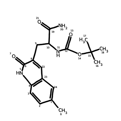 Cc1ccc2[nH]c(=O)c(CC(NC(=O)OC(C)(C)C)C(N)=O)cc2c1